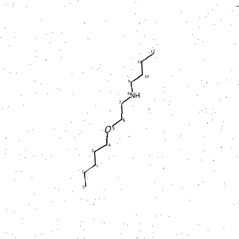 CCCCCOCCNCCCC